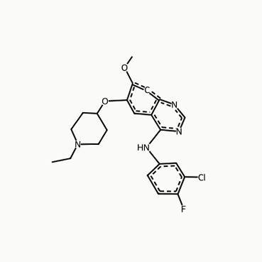 CCN1CCC(Oc2cc3c(Nc4ccc(F)c(Cl)c4)ncnc3cc2OC)CC1